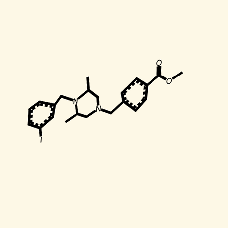 COC(=O)c1ccc(CN2CC(C)N(Cc3cccc(I)c3)C(C)C2)cc1